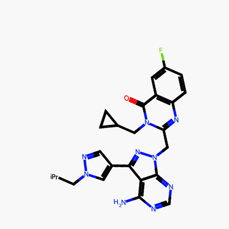 CC(C)Cn1cc(-c2nn(Cc3nc4ccc(F)cc4c(=O)n3CC3CC3)c3ncnc(N)c23)cn1